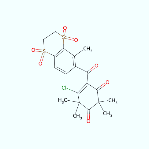 Cc1c(C(=O)C2=C(Cl)C(C)(C)C(=O)C(C)(C)C2=O)ccc2c1S(=O)(=O)CCS2(=O)=O